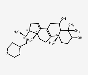 C[C@H](CN1CCOCC1)[C@H]1CC=C2C3=C(CC[C@@]21C)[C@@]1(C)CCC(O)C(C)(C)C1C(O)C3